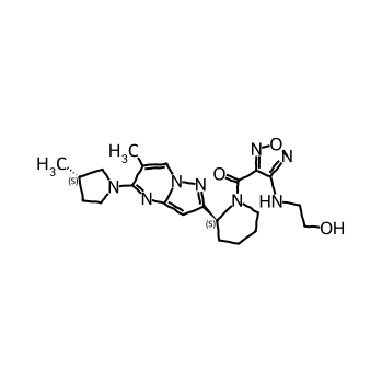 Cc1cn2nc([C@@H]3CCCCN3C(=O)c3nonc3NCCO)cc2nc1N1CC[C@H](C)C1